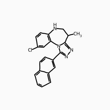 CC1CNc2ccc(Cl)cc2-n2c(-c3ccc4ccccc4c3)nnc21